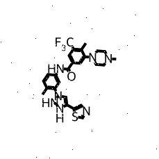 Cc1ccc(NC(=O)c2cc(N3CCN(C)CC3)c(C)c(C(F)(F)F)c2)cc1N1C=C(c2cncs2)NN1